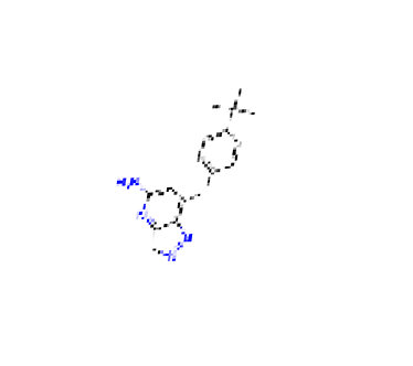 CC(C)(C)c1ccc(Cc2cc(N)nc3c2N=NC3)cc1